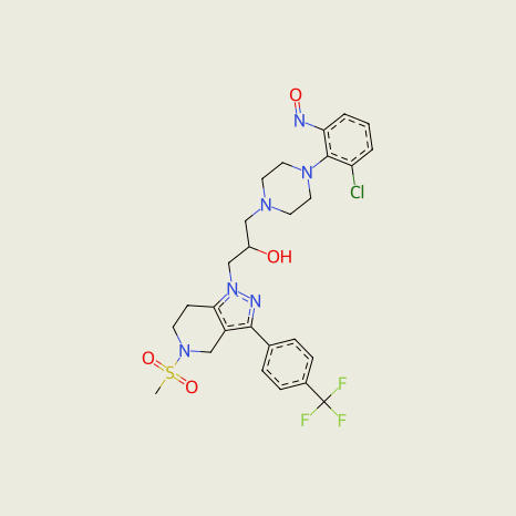 CS(=O)(=O)N1CCc2c(c(-c3ccc(C(F)(F)F)cc3)nn2CC(O)CN2CCN(c3c(Cl)cccc3N=O)CC2)C1